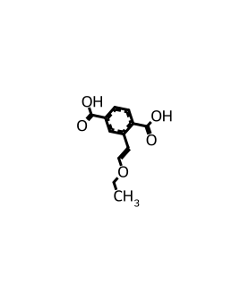 CCOC=Cc1cc(C(=O)O)ccc1C(=O)O